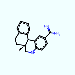 N=C(N)c1ccc2c(c1)C1c3ccccc3CC[C@H]1CN2